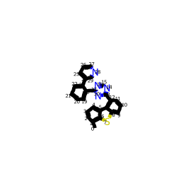 Cc1cccc2c1sc1cccc(-c3ncnc(-c4ccccc4-c4cccnc4)n3)c12